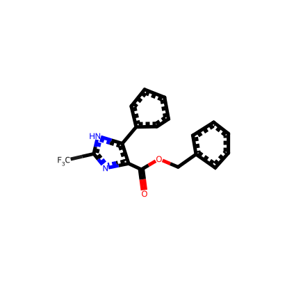 O=C(OCc1ccccc1)c1nc(C(F)(F)F)[nH]c1-c1ccccc1